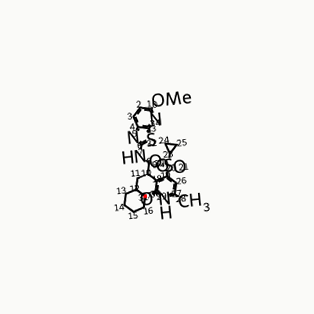 COc1ccc2nc(NC(=O)[C@H](CC3CCCCC3)c3c(S(=O)(=O)C4CC4)cc(C)[nH]c3=O)sc2n1